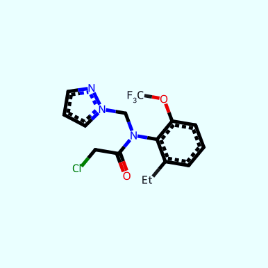 CCc1cccc(OC(F)(F)F)c1N(Cn1cccn1)C(=O)CCl